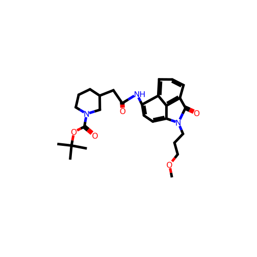 COCCCN1C(=O)c2cccc3c(NC(=O)CC4CCCN(C(=O)OC(C)(C)C)C4)ccc1c23